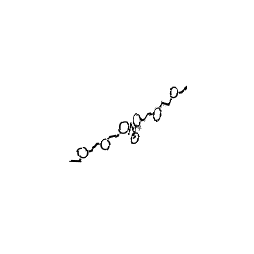 CCOCCOCCO[N+](=O)OCCOCCOCC